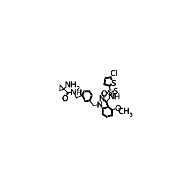 COc1cccc2c1c(NS(=O)(=S)c1ccc(Cl)s1)nn2Cc1cccc(CNC(=O)C2(N)CC2)c1